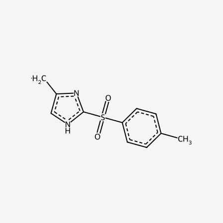 [CH2]c1c[nH]c(S(=O)(=O)c2ccc(C)cc2)n1